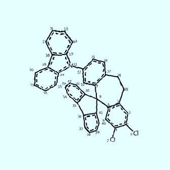 Clc1cc2c(cc1Cl)C1(c3cc(-n4c5ccccc5c5ccccc54)ccc3CC2)c2ccccc2-c2ccccc21